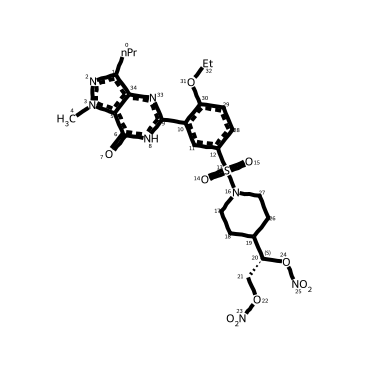 CCCc1nn(C)c2c(=O)[nH]c(-c3cc(S(=O)(=O)N4CCC([C@@H](CO[N+](=O)[O-])O[N+](=O)[O-])CC4)ccc3OCC)nc12